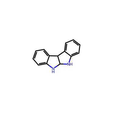 c1ccc2c(c1)NC1Nc3ccccc3C21